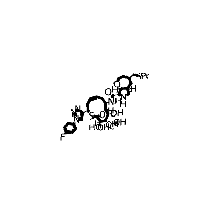 CC(C)C[C@@H]1CCO[C@@H]2[C@H](CN[C@@H]2C(=O)N[C@@H]2CC=CC[C@@H](c3cn(-c4ccc(F)cc4)nn3)S[C@H]3O[C@H]2[C@H](O)[C@H](O)[C@H]3O)C1.O=CO